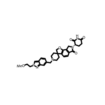 COCCn1cc2ccc(CN3CCC4(CC3)COc3c4ccc4c3CN([C@H]3CCC(=O)NC3=O)C4=O)cc2n1